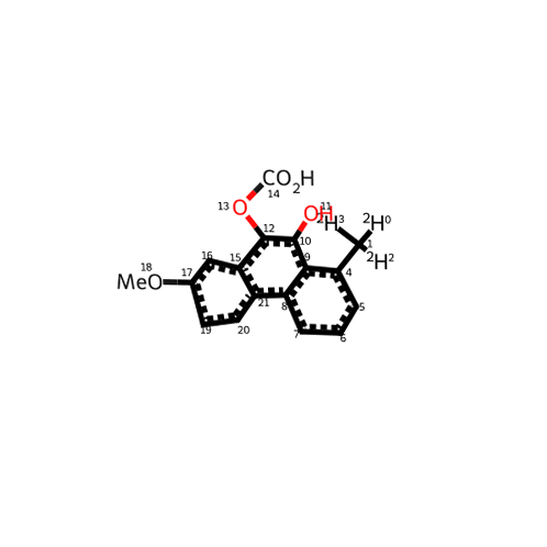 [2H]C([2H])([2H])c1cccc2c1c(O)c(OC(=O)O)c1cc(OC)ccc12